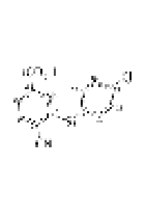 N#Cc1ccc(C(=O)O)nc1Sc1ccc(Cl)cc1